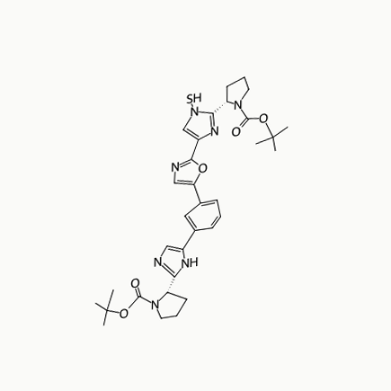 CC(C)(C)OC(=O)N1CCC[C@H]1c1ncc(-c2cccc(-c3cnc(-c4cn(S)c([C@@H]5CCCN5C(=O)OC(C)(C)C)n4)o3)c2)[nH]1